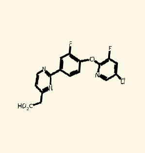 O=C(O)Cc1ccnc(-c2ccc(Oc3ncc(Cl)cc3F)c(F)c2)n1